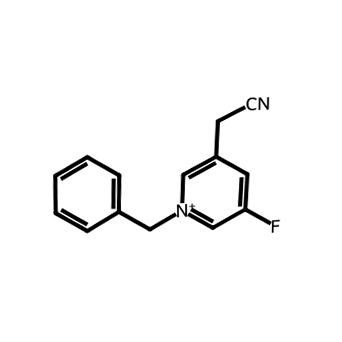 N#CCc1cc(F)c[n+](Cc2ccccc2)c1